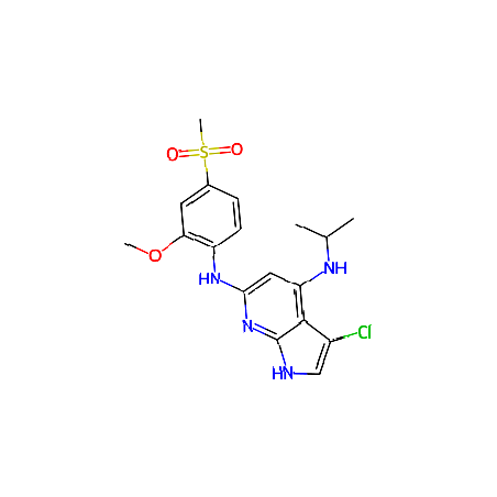 COc1cc(S(C)(=O)=O)ccc1Nc1cc(NC(C)C)c2c(Cl)c[nH]c2n1